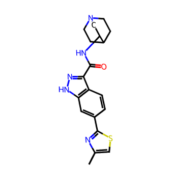 Cc1csc(-c2ccc3c(C(=O)NC4CN5CCC4CC5)n[nH]c3c2)n1